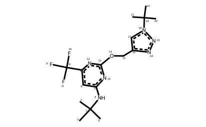 CC(C)(C)Nc1cc(C(F)(F)F)nc(OCc2cn(C(C)(C)C)nn2)n1